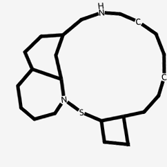 C1CCCNCC2CCC3CCCCN(SC4CCC4CCC1)C3C2